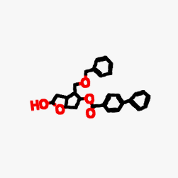 O=C(OC1CC2OC(O)CC2C1COCc1ccccc1)c1ccc(-c2ccccc2)cc1